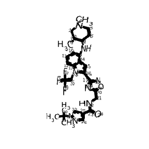 C[C@H]1CN(C)CC[C@H]1Nc1cccc2c1cc(-c1noc(CNC(=O)c3cnn(C(C)(C)C)c3)n1)n2CC(F)(F)F